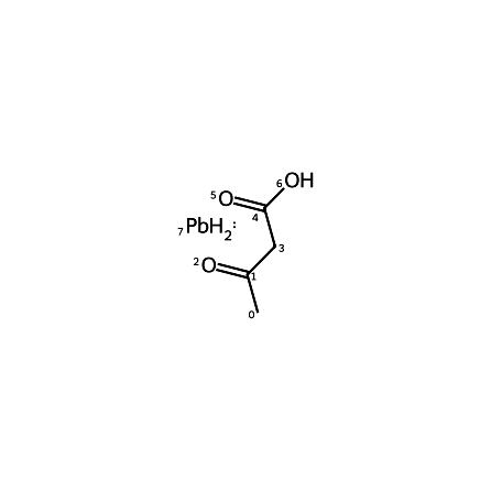 CC(=O)CC(=O)O.[PbH2]